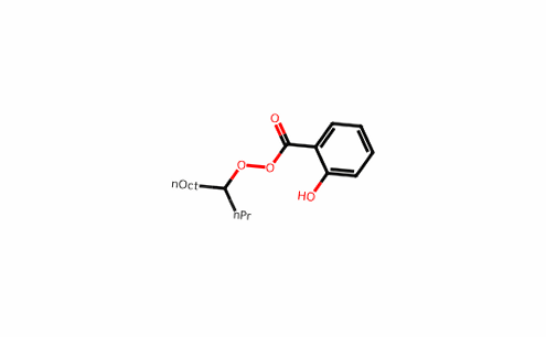 CCCCCCCCC(CCC)OOC(=O)c1ccccc1O